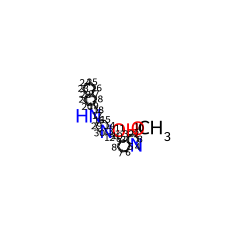 COc1cnc2cccc(C(O)CN3CCC(NCc4ccc5ccccc5c4)CC3)c2c1